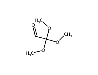 COC(C=O)(OC)OC